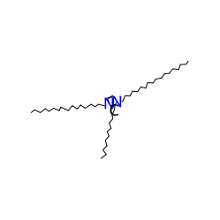 CCCCCCCCCCCCCCCCCCN1C=CN(CCCCCCCCCCCCCCCCC)C1CCCCCCCCCCCC